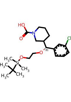 CC(C)(C)[Si](C)(C)OCCO[C@@H](c1cccc(Cl)c1)C1CCCN(C(=O)O)C1